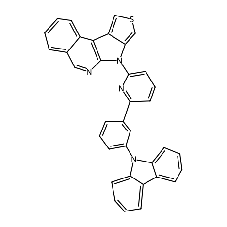 c1cc(-c2cccc(-n3c4cscc4c4c5ccccc5cnc43)n2)cc(-n2c3ccccc3c3ccccc32)c1